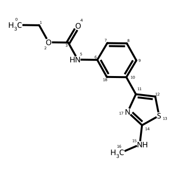 CCOC(=O)Nc1cccc(-c2csc(NC)n2)c1